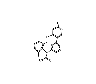 NC(=O)C(c1cccc(-c2ccc(F)cc2F)n1)c1c(F)cccc1F